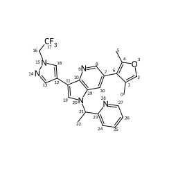 Cc1coc(C)c1-c1cnc2c(-c3cnn(CC(F)(F)F)c3)cn(C(C)c3ccccn3)c2c1